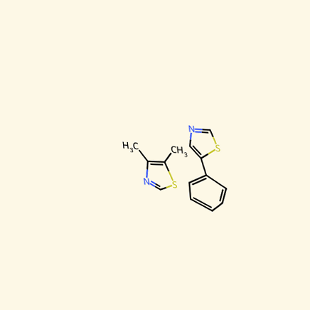 Cc1ncsc1C.c1ccc(-c2cncs2)cc1